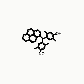 Cc1cc(C(c2cc(C)c(N=O)cc2C)c2ccc3ccc4cccc5ccc2c3c45)c(C)cc1O